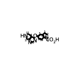 O=C(O)n1ccc2cc(Oc3ncnc4c3CCNC4)ccc21